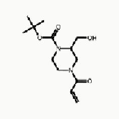 C=CC(=O)N1CCN(C(=O)OC(C)(C)C)C(CO)C1